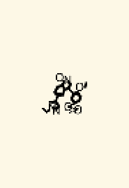 CCOc1ccc(S(C)(=O)=O)cc1-c1cn(C)c(=O)c2ccc(-c3cnn(CC)c3)cc12